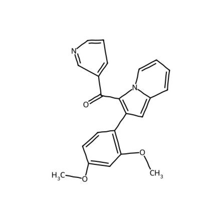 COc1ccc(-c2cc3ccccn3c2C(=O)c2cccnc2)c(OC)c1